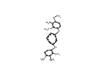 COc1ccc(Oc2cccc(Oc3ccc(O)c(N)c3C)c2)c(C)c1N